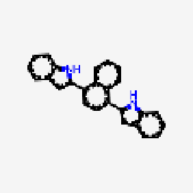 c1ccc2[nH]c(-c3ccc(-c4cc5ccccc5[nH]4)c4ccccc34)cc2c1